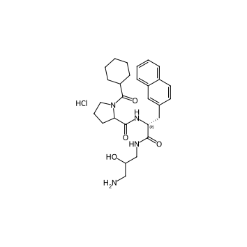 Cl.NCC(O)CNC(=O)[C@@H](Cc1ccc2ccccc2c1)NC(=O)C1CCCN1C(=O)C1CCCCC1